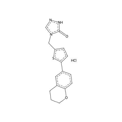 Cl.O=c1[nH]ncn1Cc1ccc(-c2ccc3c(c2)CCCO3)s1